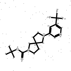 CC(C)(C)OC(=O)N1CCC2(CCN(c3cncc(C(F)(F)F)c3)C2)C1